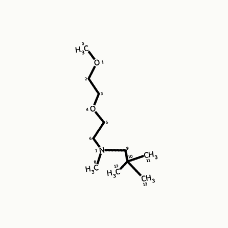 COCCOCCN(C)CC(C)(C)C